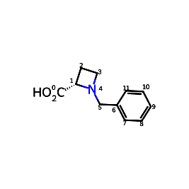 O=C(O)[C@@H]1CCN1Cc1ccccc1